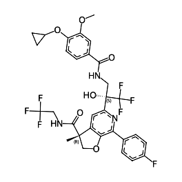 COc1cc(C(=O)NC[C@](O)(c2cc3c(c(-c4ccc(F)cc4)n2)OC[C@]3(C)C(=O)NCC(F)(F)F)C(F)(F)F)ccc1OC1CC1